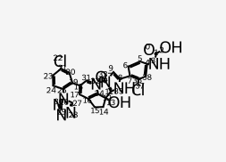 O=C(O)Nc1ccc(-c2cnc(C3(O)CCc4cc(-c5cc(Cl)ccc5-n5cnnn5)c[n+]([O-])c43)[nH]2)c(Cl)c1